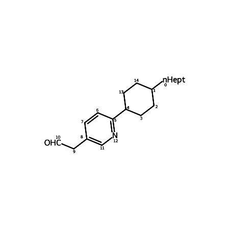 CCCCCCCC1CCC(c2ccc(CC=O)cn2)CC1